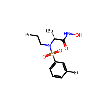 CCc1cccc(S(=O)(=O)N(CCC(C)C)[C@@H](C(=O)NO)C(C)(C)C)c1